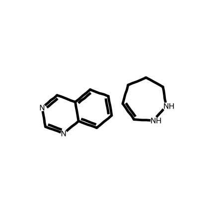 C1=CNNCCC1.c1ccc2ncncc2c1